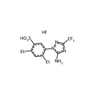 CCc1cc(CC)c(S(=O)(=O)O)cc1-n1nc(C(F)(F)F)nc1N.F